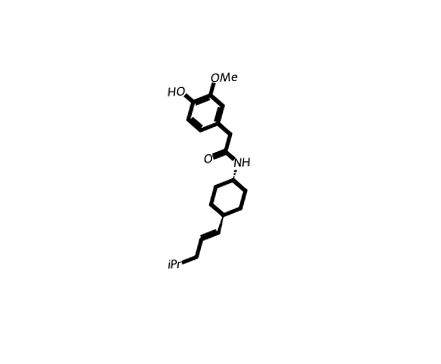 COc1cc(CC(=O)N[C@H]2CC[C@H](C=CCC(C)C)CC2)ccc1O